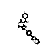 CC(C)N(c1nn(-c2ccc(-c3cn4ncccc4n3)cc2)cc1C(=O)O)C(=O)[C@H]1CC[C@H](C)CC1